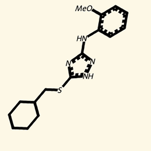 COc1ccccc1Nc1n[nH]c(SCC2CCCCC2)n1